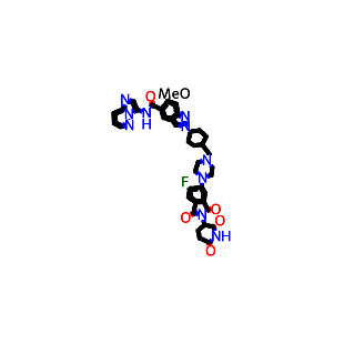 COc1cc2nn(C3CCC(CN4CCN(c5cc6c(cc5F)C(=O)N(C5CCC(=O)NC5=O)C6=O)CC4)CC3)cc2cc1C(=O)Nc1cnc2cccnn12